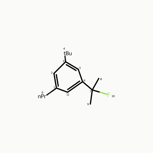 CCCc1cc(C(C)(C)C)cc(C(C)(C)F)c1